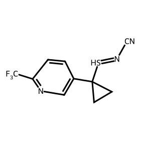 N#CN=[SH]C1(c2ccc(C(F)(F)F)nc2)CC1